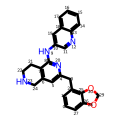 c1cc(Cc2cc3c(c(Nc4cnc5ccccc5c4)n2)CCNC3)c2c(c1)OCO2